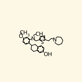 CCN(Cc1ccc(CCN2CCCCCC2)s1)c1cc(OC)ccc1C1CCc2cc(O)ccc2C1